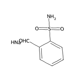 NS(=O)(=O)c1ccccc1C=O.[NaH]